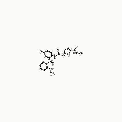 CNC(=O)c1csc(NC(=O)Nc2ccc(C)cc2C(=O)c2ccccc2OC)n1